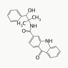 CC(C)(NC(=O)c1ccc2c(=O)c3ccccc3[nH]c2c1)C(O)c1ccccc1